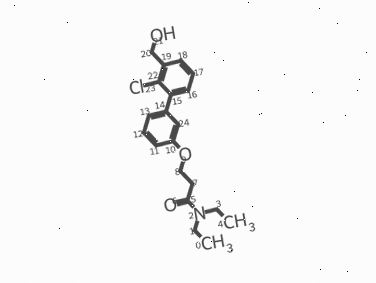 CCN(CC)C(=O)CCOc1cccc(-c2cccc(CO)c2Cl)c1